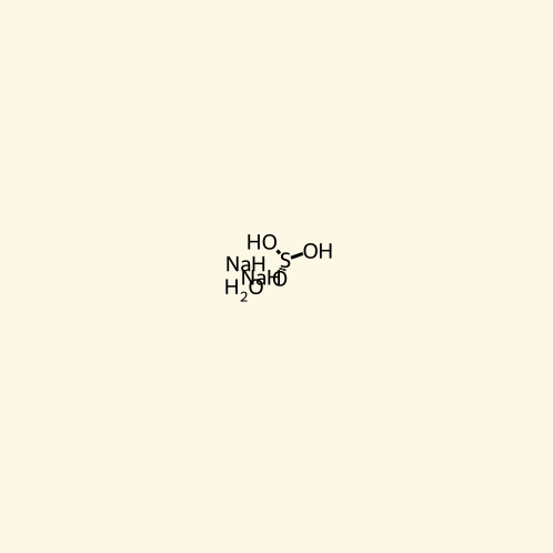 O.O=S(O)O.[NaH].[NaH]